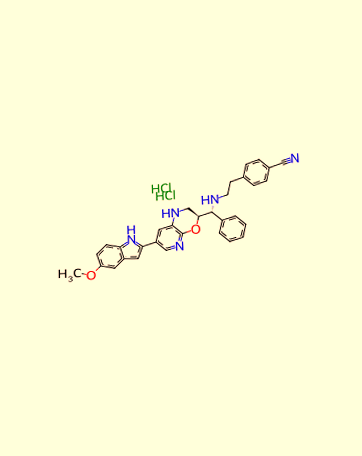 COc1ccc2[nH]c(-c3cnc4c(c3)NC[C@@H]([C@H](NCCc3ccc(C#N)cc3)c3ccccc3)O4)cc2c1.Cl.Cl